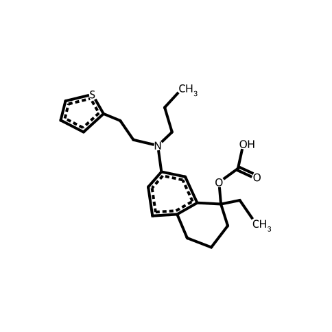 CCCN(CCc1cccs1)c1ccc2c(c1)C(CC)(OC(=O)O)CCC2